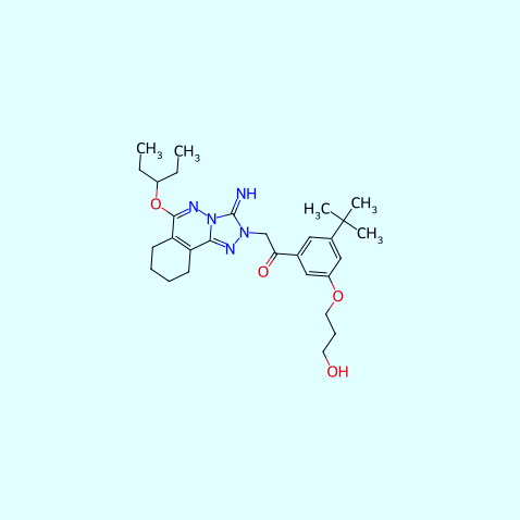 CCC(CC)Oc1nn2c(=N)n(CC(=O)c3cc(OCCCO)cc(C(C)(C)C)c3)nc2c2c1CCCC2